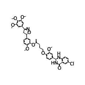 C=C(CCCOc1ccc(C2NC(=O)c3cc(Cl)ccc3N2)cc1OC)Oc1cc(C2CC(c3cc(OC)c(OC)c(OC)c3)=NO2)ccc1OC